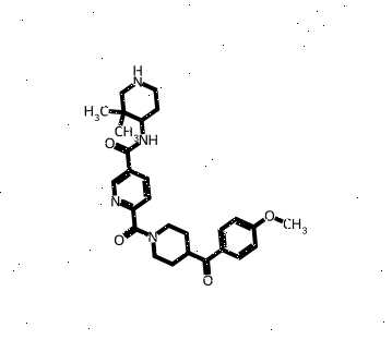 COc1ccc(C(=O)C2CCN(C(=O)c3ccc(C(=O)NC4CCNCC4(C)C)cn3)CC2)cc1